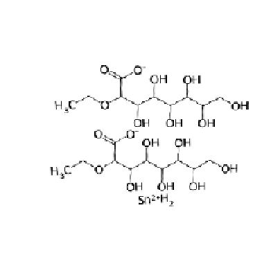 CCOC(C(=O)[O-])C(O)C(O)C(O)C(O)C(O)CO.CCOC(C(=O)[O-])C(O)C(O)C(O)C(O)C(O)CO.[SnH2+2]